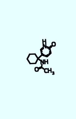 CC(=O)NC1(c2ccc(=O)[nH]c2)CCCCC1